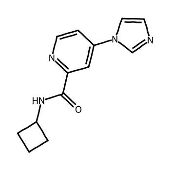 O=C(NC1CCC1)c1cc(-n2ccnc2)ccn1